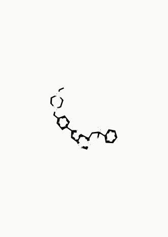 CCN1CCN(Cc2ccc(-c3cc4ncnc(CC(N)(O)c5ccccc5)c4s3)cc2)CC1